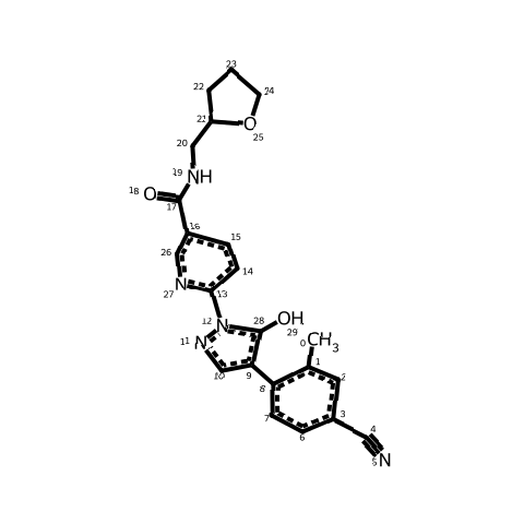 Cc1cc(C#N)ccc1-c1cnn(-c2ccc(C(=O)NCC3CCCO3)cn2)c1O